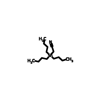 CCC[CH2][Sn]([CH2]C#N)([CH2]CCC)[CH2]CCC